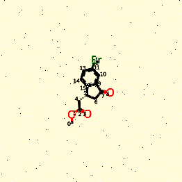 COC(=O)C[C@H]1CC(=O)c2cc(Br)ccc21